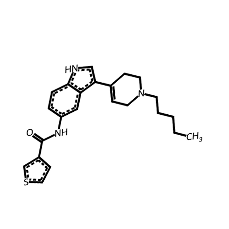 CCCCCN1CC=C(c2c[nH]c3ccc(NC(=O)c4ccsc4)cc23)CC1